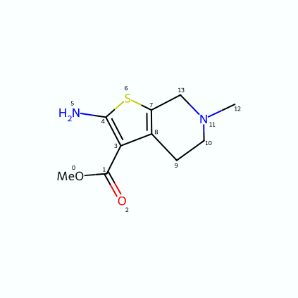 COC(=O)c1c(N)sc2c1CCN(C)C2